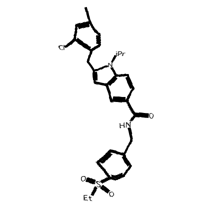 CCS(=O)(=O)c1ccc(CNC(=O)c2ccc3c(c2)cc(Cc2ccc(C)cc2Cl)n3C(C)C)cc1